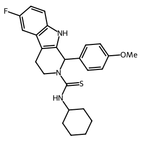 COc1ccc(C2c3[nH]c4ccc(F)cc4c3CCN2C(=S)NC2CCCCC2)cc1